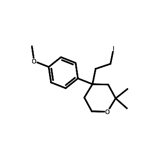 COc1ccc(C2(CCI)CCOC(C)(C)C2)cc1